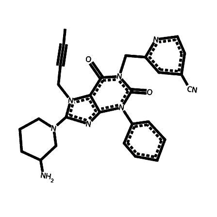 CC#CCn1c(N2CCCC(N)C2)nc2c1c(=O)n(Cc1cc(C#N)ccn1)c(=O)n2-c1ccccc1